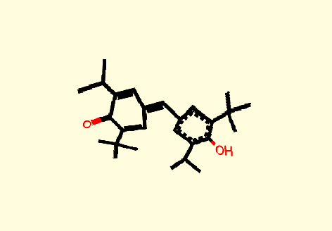 CC(C)C1=CC(=Cc2cc(C(C)C)c(O)c(C(C)(C)C)c2)C=C(C(C)(C)C)C1=O